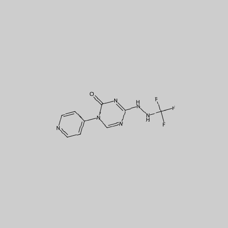 O=c1nc(NNC(F)(F)F)ncn1-c1ccncc1